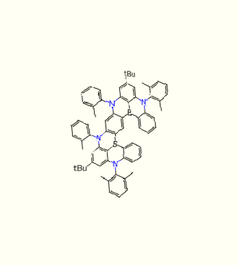 Cc1ccccc1N1c2cc3c(cc2B2c4ccccc4N(c4c(C)cccc4C)c4cc(C(C)(C)C)cc1c42)B1c2ccccc2N(c2c(C)cccc2C)c2cc(C(C)(C)C)cc(c21)N3c1ccccc1C